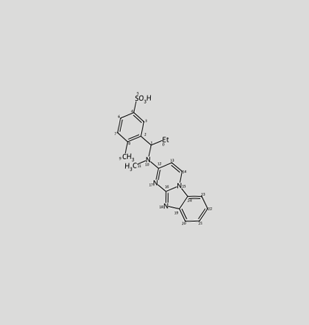 CCC(c1cc(S(=O)(=O)O)ccc1C)N(C)c1ccn2c(n1)nc1ccccc12